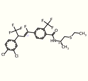 CCSC[C@@H](C)NC(=O)c1ccc(/C(F)=C/C(c2ccc(Cl)c(Cl)c2)C(F)(F)F)cc1C(F)(F)F